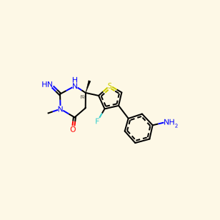 CN1C(=N)N[C@](C)(c2scc(-c3cccc(N)c3)c2F)CC1=O